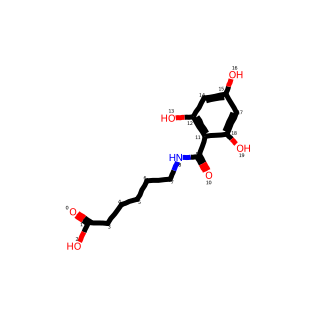 O=C(O)CCCCCNC(=O)c1c(O)cc(O)cc1O